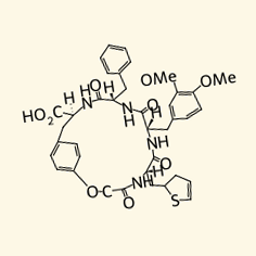 COc1ccc(C[C@@H]2NC(=O)[C@H](CC3CC=CS3)NC(=O)COc3ccc(cc3)C[C@@H](C(=O)O)NC(=O)[C@H](Cc3ccccc3)NC2=O)cc1OC